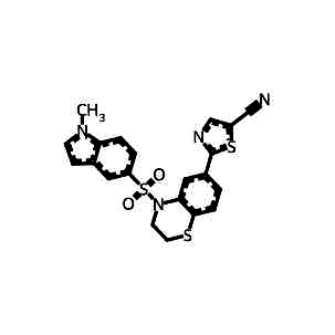 Cn1ccc2cc(S(=O)(=O)N3CCSc4ccc(-c5ncc(C#N)s5)cc43)ccc21